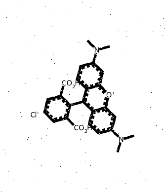 CN(C)c1ccc2c(-c3c(C(=O)O)cccc3C(=O)O)c3ccc(N(C)C)cc3[o+]c2c1.[Cl-]